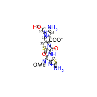 CO/N=C(/C(=O)N[C@@H]1C(=O)N2C(C(=O)[O-])=C(C[n+]3ccc(N)n3CCO)CS[C@H]12)c1csc(N)n1